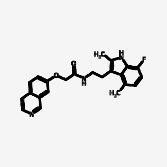 Cc1[nH]c2c(F)ccc(C)c2c1CCNC(=O)COc1ccc2ccncc2c1